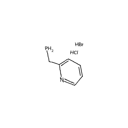 Br.Cl.PCc1ccccn1